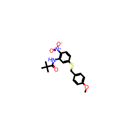 COc1ccc(CSc2ccc([N+](=O)[O-])c(NC(=O)C(C)(C)C)c2)cc1